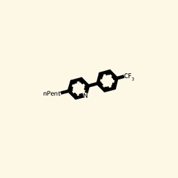 CCCCCc1ccc(-c2ccc(C(F)(F)F)cc2)nc1